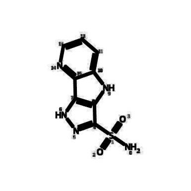 NS(=O)(=O)c1n[nH]c2c1[nH]c1cccnc12